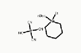 CCCCCCCCCC[N+]1(CC)CCCCC1.N#C[B-](C#N)(C#N)C#N